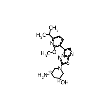 COc1nc(C(C)C)ccc1-c1cnc2sc(N3C[C@@H](N)C[C@H](O)C3)nn12